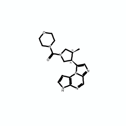 C[C@@H]1CN(C(=O)N2CCOCC2)C[C@@H]1c1cnc2cnc3[nH]ccc3n12